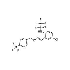 O=S(=O)(Nc1ccc(Cl)cc1/C=N/OCc1ccc(C(F)(F)F)cc1)C(F)(F)F